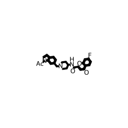 CC(=O)n1ccc2ccc(CN3CCC(NC(=O)c4cc(=O)c5ccc(F)cc5o4)CC3)cc21